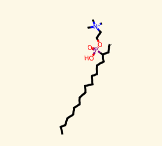 [CH2]CC(CCCCCCCCCCCCCCC)P(=O)(O)OCC[N+](C)(C)C